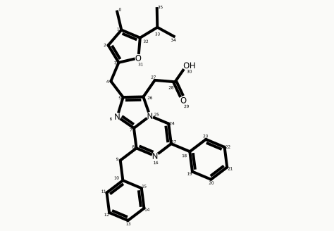 Cc1cc(Cc2nc3c(Cc4ccccc4)nc(-c4ccccc4)cn3c2CC(=O)O)oc1C(C)C